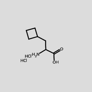 Cl.Cl.NC(CC1CCC1)C(=O)O